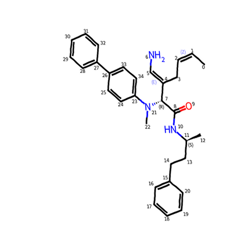 C/C=C\C/C(=C\N)[C@H](C(=O)N[C@@H](C)CCc1ccccc1)N(C)c1ccc(-c2ccccc2)cc1